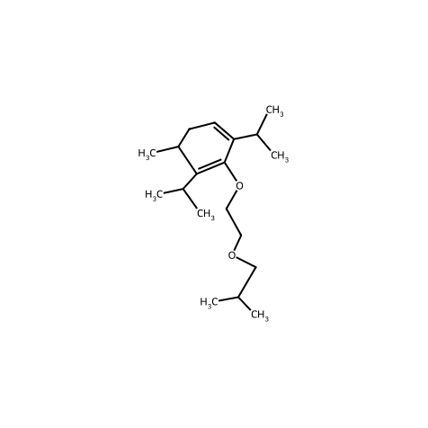 CC(C)COCCOC1=C(C(C)C)C(C)CC=C1C(C)C